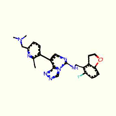 Cc1nc(CN(C)C)ccc1-c1cnc(NCc2c(F)ccc3c2CCO3)n2cnnc12